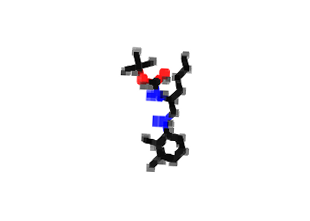 CCCCC(CNc1cccc(C)c1C)NC(=O)OC(C)(C)C